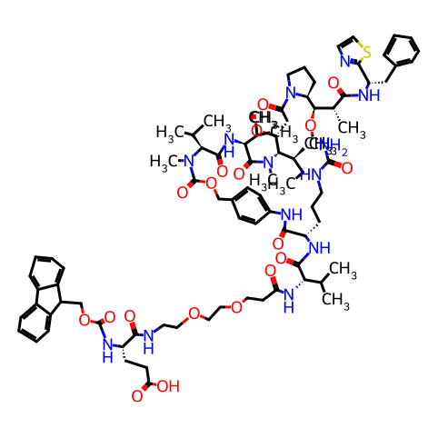 CC[C@H](C)[C@@H]([C@@H](CC(=O)N1CCC[C@H]1[C@H](OC)[C@@H](C)C(=O)N[C@@H](Cc1ccccc1)c1nccs1)OC)N(C)C(=O)[C@@H](NC(=O)[C@H](C(C)C)N(C)C(=O)OCc1ccc(NC(=O)[C@H](CCCNC(N)=O)NC(=O)[C@@H](NC(=O)CCOCCOCCNC(=O)[C@H](CCC(=O)O)NC(=O)OCC2c3ccccc3-c3ccccc32)C(C)C)cc1)C(C)C